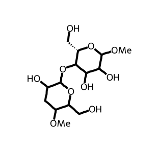 COC1CC(O)C(OC2C(O)C(O)C(OC)O[C@H]2CO)OC1CO